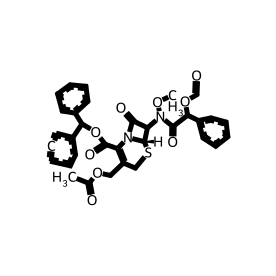 CON(C(=O)C(OC=O)c1ccccc1)C1C(=O)N2C(C(=O)OC(c3ccccc3)c3ccccc3)=C(COC(C)=O)CS[C@@H]12